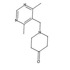 Cc1ncnc(C)c1CN1CCC(=O)CC1